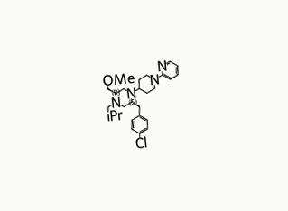 COC[C@H]1CN(C2CCN(c3ccccn3)CC2)[C@@H](Cc2ccc(Cl)cc2)CN1CC(C)C